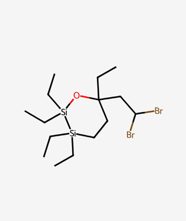 CCC1(CC(Br)Br)CC[Si](CC)(CC)[Si](CC)(CC)O1